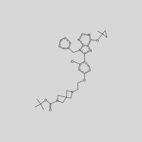 CC(C)(C)OC(=O)N1CC2(CN(CCOc3ccc(-c4nc5c(OC6(C)CC6)ncnc5n4Cc4ccccc4)c(Cl)c3)C2)C1